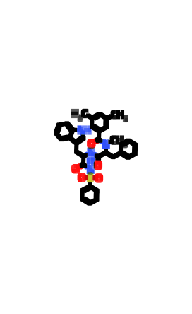 Cc1cc(C)cc(C(=O)N(C)C(Cc2ccccc2)C(=O)NC(Cc2c[nH]c3ccccc23)C(=O)NS(=O)(=O)c2ccccc2)c1